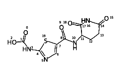 O=C(O)Nc1ncc(C(=O)NC2CCC(=O)NC2=O)s1